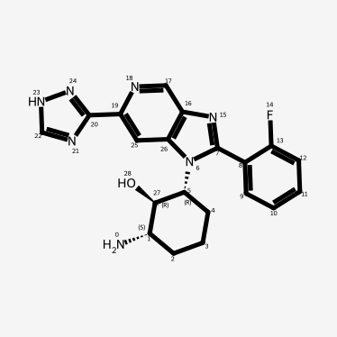 N[C@H]1CCC[C@@H](n2c(-c3ccccc3F)nc3cnc(-c4nc[nH]n4)cc32)[C@@H]1O